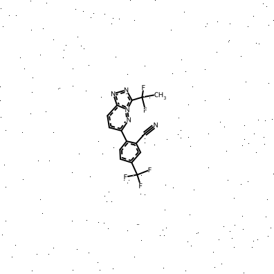 CC(F)(F)c1nnc2ccc(-c3ccc(C(F)(F)F)cc3C#N)nn12